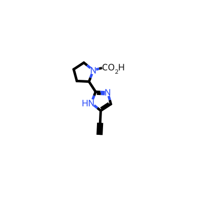 C#Cc1cnc(C2CCCN2C(=O)O)[nH]1